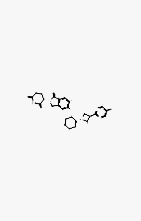 O=C1CC[C@H](N2Cc3cc(O[C@H]4CCCC[C@@H]4N4CC(c5ncc(C(F)(F)F)cn5)C4)ccc3C2=O)C(=O)N1